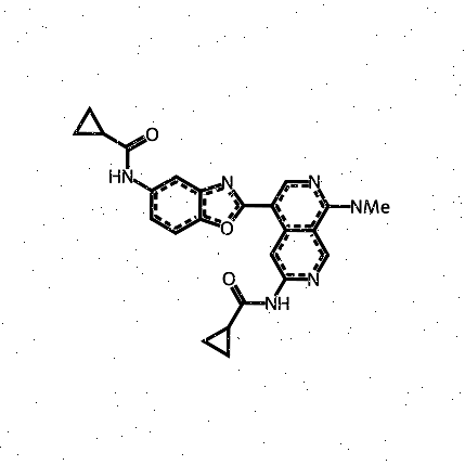 CNc1ncc(-c2nc3cc(NC(=O)C4CC4)ccc3o2)c2cc(NC(=O)C3CC3)ncc12